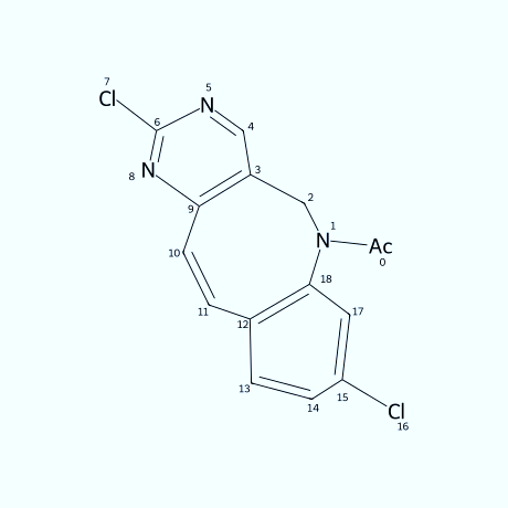 CC(=O)N1Cc2cnc(Cl)nc2/C=C\c2ccc(Cl)cc21